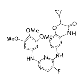 COc1cc(Nc2ncc(F)c(Nc3ccc4c(c3)NC(=O)C(C3CC3)O4)n2)cc(OC)c1OC